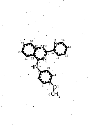 COc1ccc(Nc2nc(-c3ccccn3)nc3ccccc23)cc1